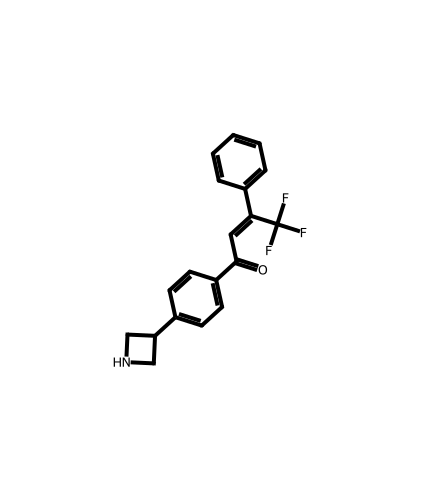 O=C(C=C(c1ccccc1)C(F)(F)F)c1ccc(C2CNC2)cc1